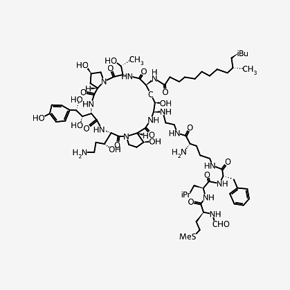 CC[C@H](C)C[C@H](C)CCCCCCCCC(=O)N[C@H]1C[C@@H](O)[C@@H](NCCNC(=O)[C@@H](N)CCCNC(=O)[C@H](Cc2ccccc2)NC(=O)[C@H](CC(C)C)NC(=O)[C@H](CCSC)NC=O)NC(=O)[C@@H]2[C@@H](O)CCN2C(=O)[C@H]([C@H](O)CCN)NC(=O)[C@H]([C@H](O)[C@@H](O)c2ccc(O)cc2)NC(=O)[C@@H]2C[C@@H](O)CN2C(=O)[C@H]([C@@H](C)O)NC1=O